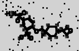 NS(=O)(=O)c1ccc(OCC2(F)CCN(C3COC3)CC2)c([N+](=O)[O-])c1